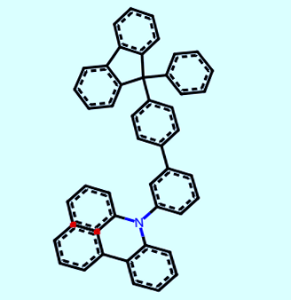 c1ccc(-c2ccccc2N(c2ccccc2)c2cccc(-c3ccc(C4(c5ccccc5)c5ccccc5-c5ccccc54)cc3)c2)cc1